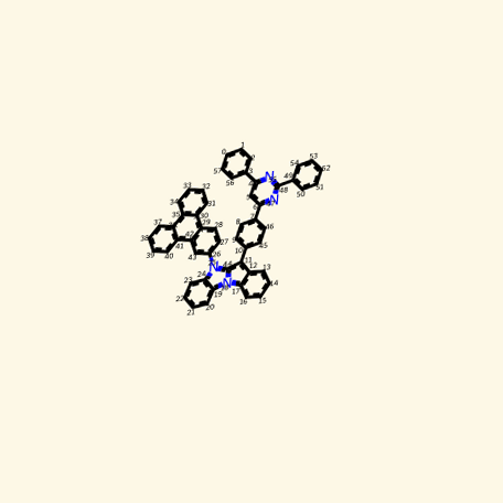 c1ccc(-c2cc(-c3ccc(-c4c5ccccc5n5c6ccccc6n(-c6ccc7c8ccccc8c8ccccc8c7c6)c45)cc3)nc(-c3ccccc3)n2)cc1